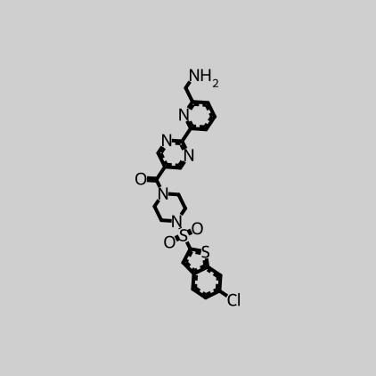 NCc1cccc(-c2ncc(C(=O)N3CCN(S(=O)(=O)c4cc5ccc(Cl)cc5s4)CC3)cn2)n1